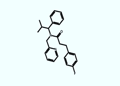 CC(C)C(c1ccccc1)N(Cc1ccccn1)C(=O)CCc1ccc(F)cc1